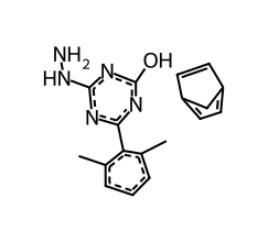 C1=CC2=CC=C1C2.Cc1cccc(C)c1-c1nc(O)nc(NN)n1